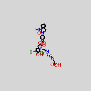 O=C(O)CCN=C=C=CN=C=C=NC(=O)[C@@H](Cc1cc(Br)c(O)c(Br)c1)OC(=O)N1CCC(N2CCc3ccccc3NC2=O)CC1